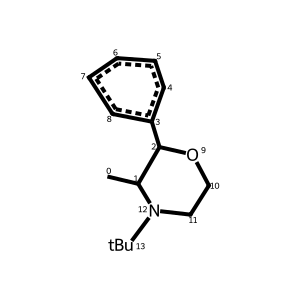 CC1C(c2ccccc2)OCCN1C(C)(C)C